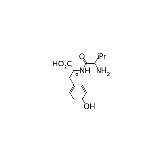 CC(C)C(N)C(=O)N[C@H](Cc1ccc(O)cc1)C(=O)O